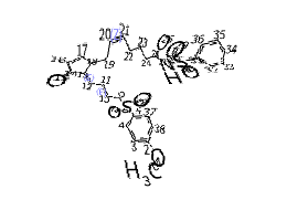 COc1ccc(S(=O)(=O)C/C=C/C=C2/C(=O)C=CC2C/C=C\CCCC(=O)NS(=O)(=O)c2ccccc2)cc1